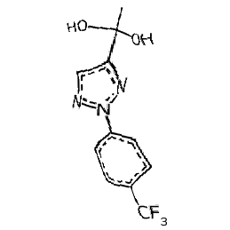 CC(O)(O)c1cnn(-c2ccc(C(F)(F)F)cc2)n1